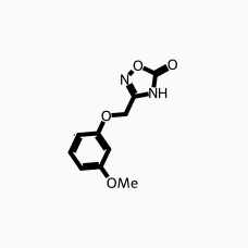 COc1cc[c]c(OCc2noc(=O)[nH]2)c1